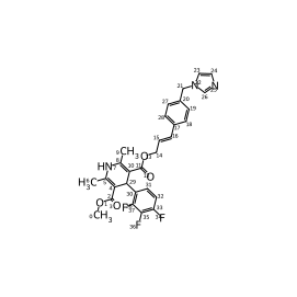 COC(=O)C1=C(C)NC(C)=C(C(=O)OCC=Cc2ccc(Cn3ccnc3)cc2)C1c1ccc(F)c(F)c1F